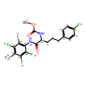 CC(C)(C)OC(=O)N[C@@H](CCCc1ccc(F)cc1)C(=O)Nc1c(F)c(F)c(C(F)(F)F)c(F)c1F